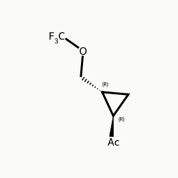 CC(=O)[C@@H]1C[C@H]1COC(F)(F)F